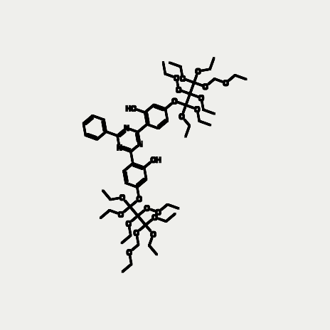 CCOCOC(OCC)(OCC)C(OCC)(OOCC)C(OCC)(OCC)Oc1ccc(-c2nc(-c3ccccc3)nc(-c3ccc(OC(OCC)(OCC)C(OCC)(OOCC)C(OCC)(OCC)OCOCC)cc3O)n2)c(O)c1